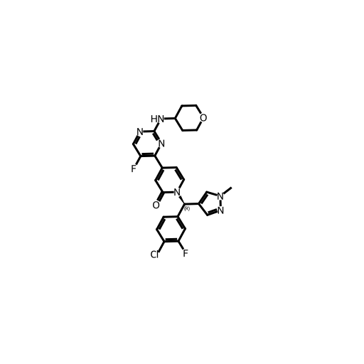 Cn1cc([C@@H](c2ccc(Cl)c(F)c2)n2ccc(-c3nc(NC4CCOCC4)ncc3F)cc2=O)cn1